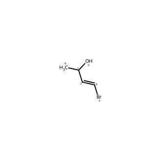 CC(O)C=CBr